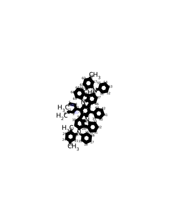 C=C/C=C(\C=C/C)c1c2c3ccc(N(c4ccccc4)c4cc(C)ccc4C)c4c5ccccc5n(c2c(-c2ccccc2)c2c5ccc(N(c6ccccc6)c6cc(C)ccc6C)c6c7ccccc7n(c12)c56)c34